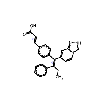 CC/C(=C(\C1=CC2=NNCN2C=C1)c1ccc(/C=C/C(=O)O)cc1)c1ccccc1